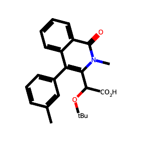 Cc1cccc(-c2c(C(OC(C)(C)C)C(=O)O)n(C)c(=O)c3ccccc23)c1